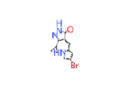 O=C1NN=C(C2CC2)/C1=C\c1cc(Br)c[nH]1